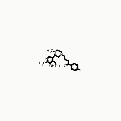 Cc1ncc(C2CN(CCCC(=O)c3ccc(F)cc3)CCN2C)c(CO)c1O